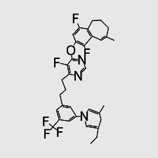 CCC1=CN(c2cc(CCCc3ncnc(Oc4cc(F)c5c(c4F)C=C(C)CCC5)c3F)cc(C(F)(F)F)c2)C=C(C)C1